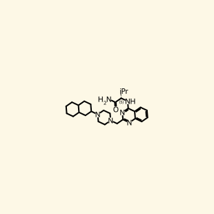 CC(C)[C@H](Nc1nc(CN2CCN(C3CCC4CCCCC4C3)CC2)nc2ccccc12)C(N)=O